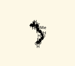 CCc1cc(Nc2ncc(Br)c(Nc3ccc4nc(C)ccc4c3P(C)(C)=O)n2)c(OC)cc1N1CCC(NCCNC(=O)[C@@H]2CCN(c3cc(F)c(C4CCC(=O)NC4=O)c(F)c3)C2)CC1